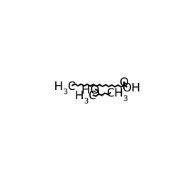 CCCCC(CC)CO.CCCCCCCCCCCCCCCCCC(=O)O